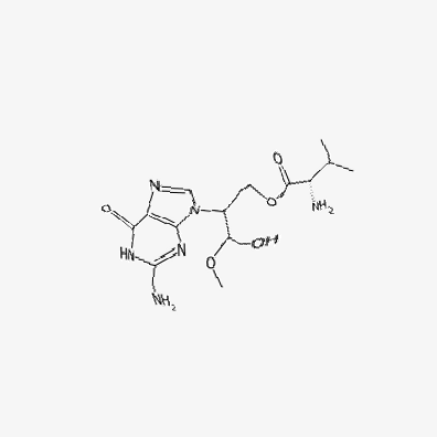 COC(O)C(COC(=O)[C@@H](N)C(C)C)n1cnc2c(=O)[nH]c(N)nc21